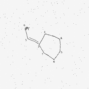 CC(C)C=C1CCCCC1